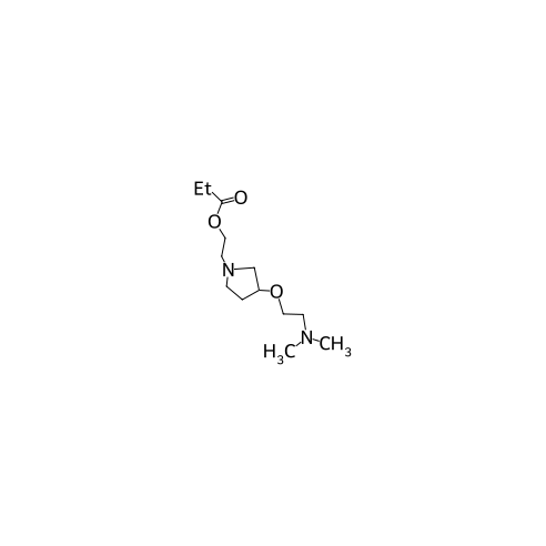 CCC(=O)OCCN1CCC(OCCN(C)C)C1